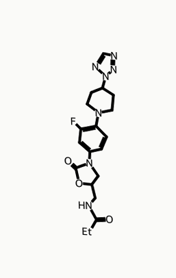 CCC(=O)NCC1CN(c2ccc(N3CCC(n4ncnn4)CC3)c(F)c2)C(=O)O1